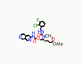 COC(=O)CCC[C@@H](COC(=O)Nc1cc2ccncc2cn1)N(C)C(=O)NCc1cccc(F)c1Cl